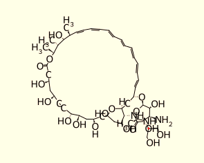 C[C@@H]1[C@H](O)[C@@H](C)/C=C/C=C/C=C/C=C/C=C/C=C/C=C/[C@H](O[C@@H]2O[C@H](C)[C@@H](O)[C@H](N)[C@@H]2O)C[C@@H]2O[C@](O)(C[C@@H](O)C[C@@H](O)[C@H](O)CC[C@@H](O)C[C@@H](O)CC(=O)O[C@H]1C)C[C@H](O)[C@H]2NC(=O)NC(CO)CO